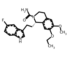 CCOc1cc2c(cc1OC)CCN(C(N)=O)[C@H]2CCc1c[nH]c2ccc(F)cc12